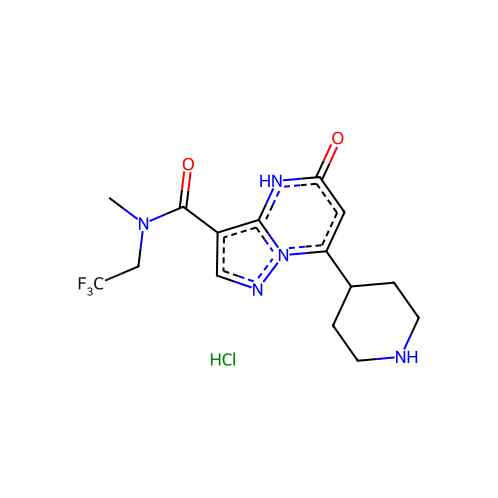 CN(CC(F)(F)F)C(=O)c1cnn2c(C3CCNCC3)cc(=O)[nH]c12.Cl